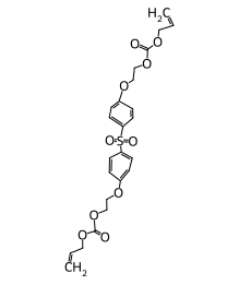 C=CCOC(=O)OCCOc1ccc(S(=O)(=O)c2ccc(OCCOC(=O)OCC=C)cc2)cc1